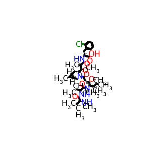 CC[C@H](C)[C@@H]([C@@H](CC(=O)N1C[C@@H]2[C@@H](C)[C@H]2C[C@H]1[C@H](OC)[C@@H](C)C(=O)N[C@@H](Cc1ccccc1Cl)C(=O)O)OC)N(C)C(=O)[C@@H](NC(=O)[C@@H](NC)C(C)C)C(C)C